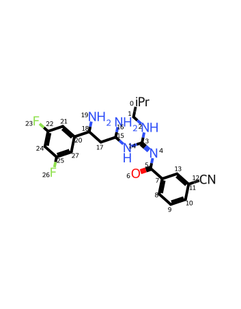 CC(C)CN/C(=N/C(=O)c1cccc(C#N)c1)NC(N)CC(N)c1cc(F)cc(F)c1